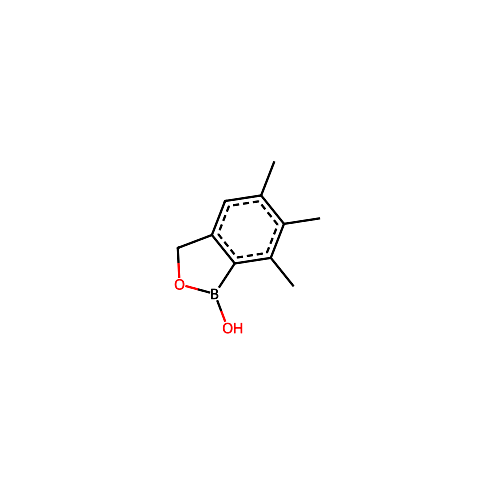 Cc1cc2c(c(C)c1C)B(O)OC2